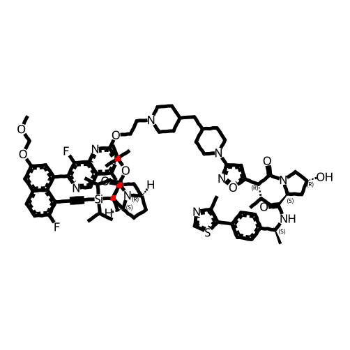 COCOc1cc(-c2ncc3c(N4C[C@H]5CC[C@@H](C4)N5C(=O)OC(C)(C)C)nc(OCCN4CCC(CC5CCN(c6cc([C@H](C(=O)N7C[C@H](O)C[C@H]7C(=O)N[C@@H](C)c7ccc(-c8scnc8C)cc7)C(C)C)on6)CC5)CC4)nc3c2F)c2c(C#C[Si](C(C)C)(C(C)C)C(C)C)c(F)ccc2c1